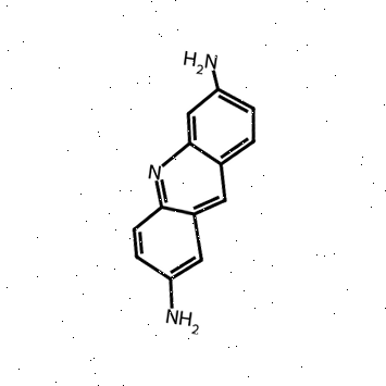 Nc1ccc2nc3cc(N)ccc3cc2c1